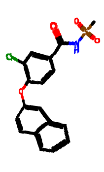 CS(=O)(=O)NC(=O)c1ccc(Oc2ccc3ccccc3c2)c(Cl)c1